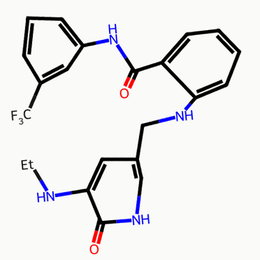 CCNc1cc(CNc2ccccc2C(=O)Nc2cccc(C(F)(F)F)c2)c[nH]c1=O